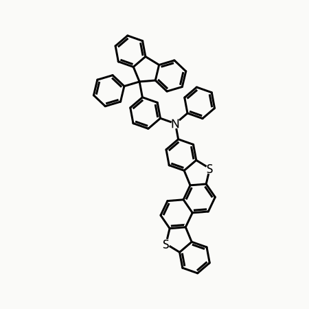 c1ccc(N(c2cccc(C3(c4ccccc4)c4ccccc4-c4ccccc43)c2)c2ccc3c(c2)sc2ccc4c(ccc5sc6ccccc6c54)c23)cc1